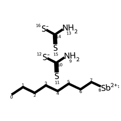 CCCCCCC[CH2][Sb+2].NC(=S)[S-].NC(=S)[S-]